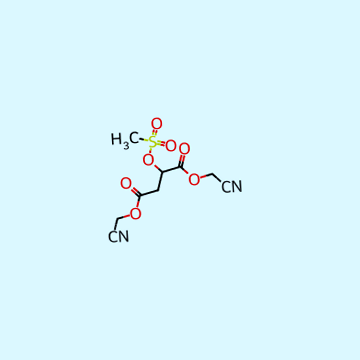 CS(=O)(=O)OC(CC(=O)OCC#N)C(=O)OCC#N